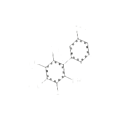 Bc1c(B)c(B)c(-c2cccc(C(C)(C)C)c2)c(B)c1B